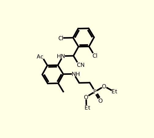 CCOP(=O)(CCNc1c(C)ccc(C(C)=O)c1NC(C#N)c1c(Cl)cccc1Cl)OCC